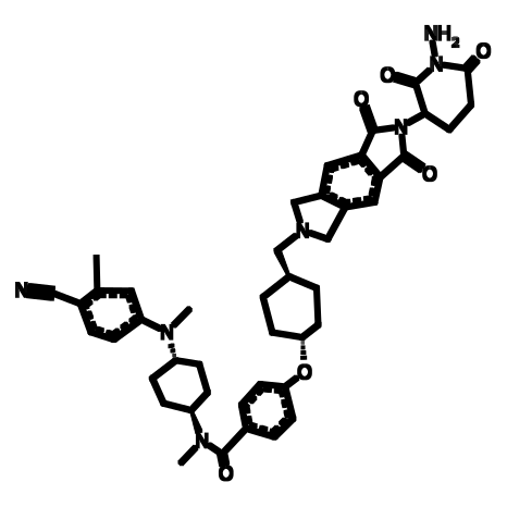 Cc1cc(N(C)[C@H]2CC[C@H](N(C)C(=O)c3ccc(O[C@H]4CC[C@H](CN5Cc6cc7c(cc6C5)C(=O)N(C5CCC(=O)N(N)C5=O)C7=O)CC4)cc3)CC2)ccc1C#N